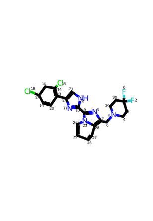 FC1(F)CCN(Cc2nc(-c3nc(C4=C(Cl)CC(Cl)C=C4)c[nH]3)n3ccccc23)CC1